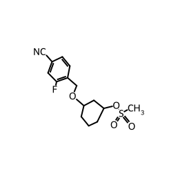 CS(=O)(=O)OC1CCCC(OCc2ccc(C#N)cc2F)C1